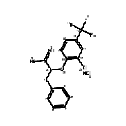 Cl.N=C(S)N(Cc1ccccc1)Oc1ccc(C(F)(F)F)cc1Cl